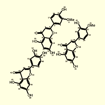 COc1cc(-c2cc(=O)c3c(O)cc(O)cc3o2)ccc1O.COc1ccc(-c2cc(=O)c3c(O)cc(O)cc3o2)cc1O.O=c1cc(-c2ccc(O)c(O)c2)oc2cc(O)cc(O)c12